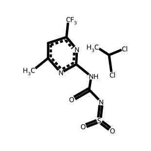 CC(Cl)Cl.Cc1cc(C(F)(F)F)nc(NC(=O)N=S(=O)=O)n1